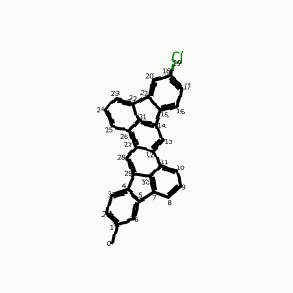 Cc1ccc2c(c1)c1cccc3c4cc5c6ccc(Cl)cc6c6cccc(c4cc2c13)c65